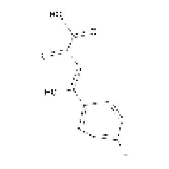 O=C(O)C(=O)C=C(O)c1ccc(F)cc1